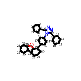 c1ccc(-c2nnc(-c3ccccc3)n2-c2ccc(-c3cccc4c3oc3ccccc34)cc2)cc1